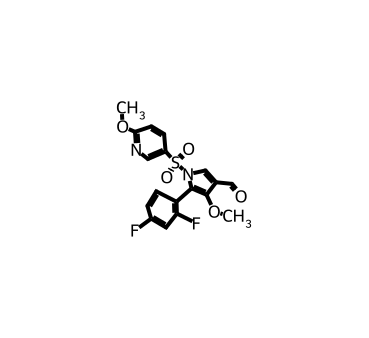 COc1ccc(S(=O)(=O)n2cc(C=O)c(OC)c2-c2ccc(F)cc2F)cn1